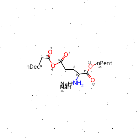 CCCCCCCCCCCC(=O)OC(=O)CCC(N)C(=O)OCCCCC.[NaH].[NaH]